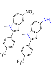 Cn1c(-c2ccc(C(F)(F)F)cc2)cc2cc(N)ccc21.Cn1c(-c2ccc(C(F)(F)F)cc2)cc2cc([N+](=O)[O-])ccc21